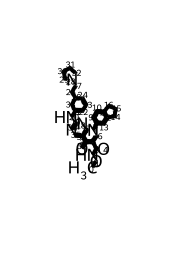 CONC(=O)c1cn(-c2ccc3c(c2)CCC3)c2nc(NC3=CC=CC(CCN4CCCC4)C3)ncc2c1=O